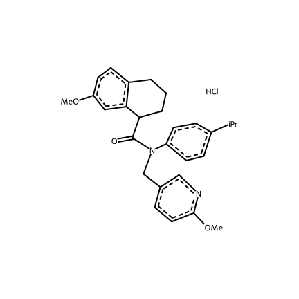 COc1ccc2c(c1)C(C(=O)N(Cc1ccc(OC)nc1)c1ccc(C(C)C)cc1)CCC2.Cl